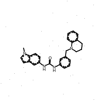 Cn1ccc2cc(NC(=O)Nc3cccc(CN4CCCc5ccccc54)c3)ccc21